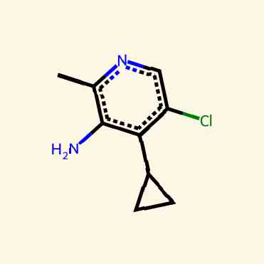 Cc1ncc(Cl)c(C2CC2)c1N